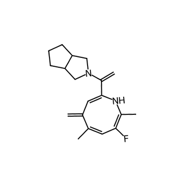 C=C1/C=C(/C(=C)N2CC3CCCC3C2)N/C(C)=C(F)\C=C/1C